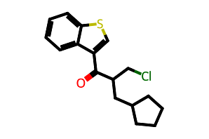 O=C(c1csc2ccccc12)C(CCl)CC1CCCC1